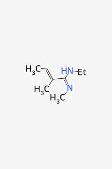 C/C=C(C)/C(=N\C)NCC